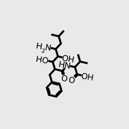 CC(C)CC(N)C(O)C(O)C(Cc1ccccc1)C(=O)NC(C(=O)O)C(C)C